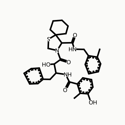 Cc1ccccc1CNC(=O)C1N(C(=O)C(O)C(Cc2ccccc2)NC(=O)c2cccc(O)c2C)CSC12CCCCC2